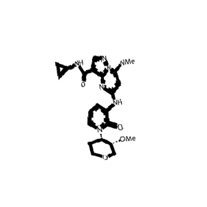 CNc1cc(Nc2cccn([C@H]3CCOC[C@H]3OC)c2=O)nc2c(C(=O)NC3CC3)cnn12